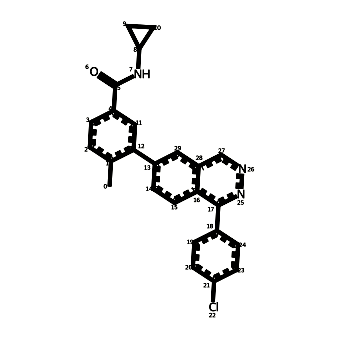 Cc1ccc(C(=O)NC2CC2)cc1-c1ccc2c(-c3ccc(Cl)cc3)nncc2c1